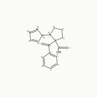 O=C(O)C1(C(=O)c2ccccc2)CCCN1n1ccnn1